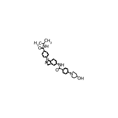 CC(C)NC(=O)c1ccc(-n2ncc3cc(NC(=O)c4ccc(N5CCC(O)CC5)cc4)ccc32)cc1